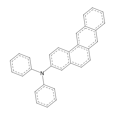 c1ccc(N(c2ccccc2)c2ccc3c(ccc4cc5ccccc5cc43)c2)cc1